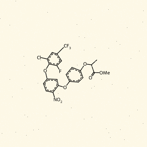 COC(=O)C(C)Oc1ccc(Oc2cc(Oc3c(F)cc(C(F)(F)F)cc3Cl)ccc2[N+](=O)[O-])cc1